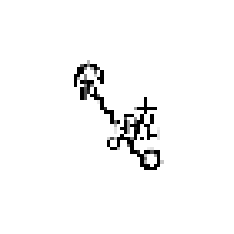 CC(C)(C)OC(=O)N[C@@H](Cc1ccccc1)C(=O)NCCCCNc1ncccn1